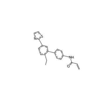 C=CC(=O)Nc1ccc(-c2cc(-c3nccs3)ccc2CC)cc1